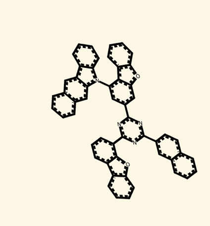 c1ccc2cc(-c3nc(-c4cc(-n5c6ccccc6c6cc7ccccc7cc65)c5c(c4)oc4ccccc45)nc(-c4cccc5c4oc4ccccc45)n3)ccc2c1